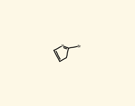 BrC1=NC=CC1